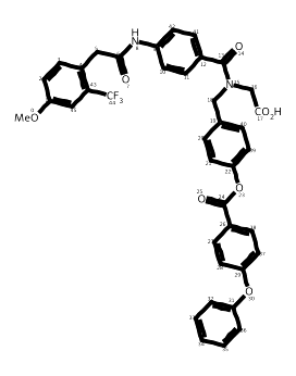 COc1ccc(CC(=O)Nc2ccc(C(=O)N(CC(=O)O)Cc3ccc(OC(=O)c4ccc(Oc5ccccc5)cc4)cc3)cc2)c(C(F)(F)F)c1